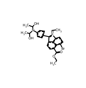 CCOC(=O)c1ccc2c3c(ccc(Br)c13)[PH](CC)=C2c1ccc(N(C(C)O)C(C)O)cc1